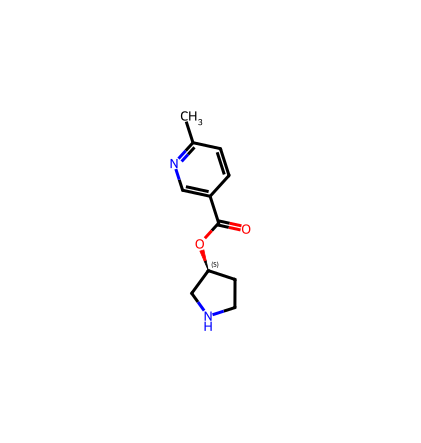 Cc1ccc(C(=O)O[C@H]2CCNC2)cn1